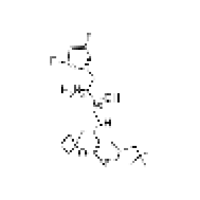 CC(C)(C)Cc1cnc2c(c1)C(NC[C@@H](O)[C@@H](N)Cc1cc(F)cc(F)c1)CC1(CCC1)O2